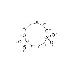 O=S1(=O)CCCS(=O)(=O)OCCCCO1